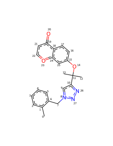 Cc1ccccc1Cn1cc(C(C)(C)Oc2ccc3c(=O)ccoc3c2)nn1